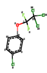 FC(F)(Oc1ccc(Cl)cc1)C(Cl)(Cl)Cl